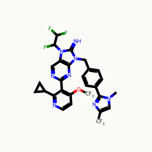 Cn1cc(C(F)(F)F)nc1-c1ccc(Cn2c(=N)n(C(F)C(F)F)c3cnc(-c4c(OC(F)(F)F)ccnc4C4CC4)nc32)cc1